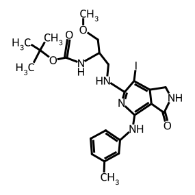 COCC(CNc1nc(Nc2cccc(C)c2)c2c(c1I)CNC2=O)NC(=O)OC(C)(C)C